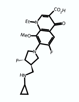 CCn1cc(C(=O)O)c(=O)c2cc(F)c(N3C[C@@H](CNC4CC4)[C@H](F)C3)c(OC)c21